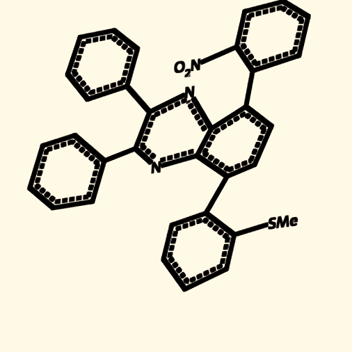 CSc1ccccc1-c1ccc(-c2ccccc2[N+](=O)[O-])c2nc(-c3ccccc3)c(-c3ccccc3)nc12